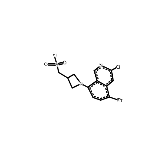 CCS(=O)(=O)CC1CN(c2ccc(C(C)C)c3cc(Cl)ncc23)C1